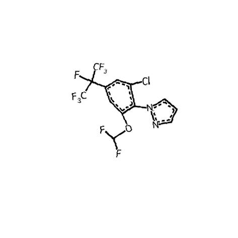 FC(F)Oc1cc(C(F)(C(F)(F)F)C(F)(F)F)cc(Cl)c1-n1cccn1